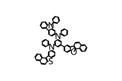 c1ccc(N(c2cc(-c3ccc4oc5c6ccccc6ccc5c4c3)cc(N(c3ccccc3)c3ccc4c5ccccc5n(-c5ccccc5)c4c3)c2)c2ccc3sc4ccc5ccccc5c4c3c2)cc1